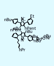 CCCC=CCCc1ccccc1C1=C(CCCCC)C(CCCC)=C(c2ccc(CCCC)cc2)[N+]1=[N-].CCCCCC1=C(c2cccc(CC)c2)[N+](=[N-])C(c2ccc(CCCC)cc2)=C1CCCC.CCCC[O][Pd][O]CCCC.[Ni]